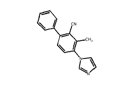 Cc1c(-n2ccnc2)ccc(-c2ccccc2)c1C#N